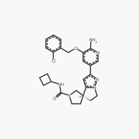 Nc1ncc(-c2cc3n(n2)CC[C@@]32CCN(C(=O)NC3CCC3)C2)cc1OCc1ccccc1Cl